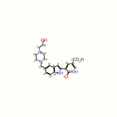 O=C(O)c1c[nH]c(=O)c(-c2cc3cc(CN4CCN(CCO)CC4)ccc3[nH]2)c1